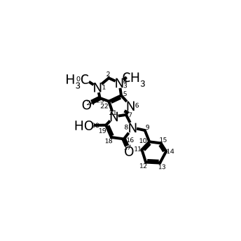 CN1CN(C)c2nc3n(Cc4ccccc4)c(=O)cc(O)n3c2C1=O